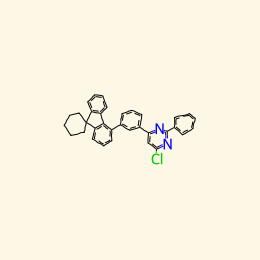 Clc1cc(-c2cccc(-c3cccc4c3-c3ccccc3C43CCCCC3)c2)nc(-c2ccccc2)n1